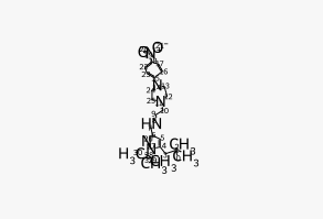 CC(C)Cc1cc(CNCCN2CCN(c3ccc([N+](=O)[O-])cc3)CC2)nn1C(C)(C)C